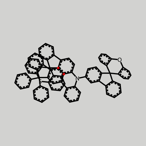 c1ccc(C2(c3ccccc3)c3ccccc3-c3ccc(-c4ccccc4N(c4ccc5c(c4)-c4ccccc4C54c5ccccc5Oc5ccccc54)c4ccc5c(c4)C4(c6ccccc6Sc6ccccc64)c4ccccc4-5)cc32)cc1